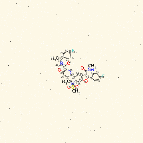 CNC(=O)c1c(-c2ccc(F)cc2)oc2cc(N(C)S(C)(=O)=O)c(-c3ccc4c(n3)C(=O)N([C@H](C)c3ccc(F)cc3)CO4)cc12